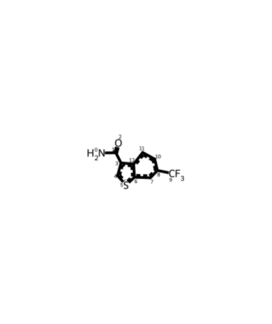 NC(=O)c1csc2cc(C(F)(F)F)ccc12